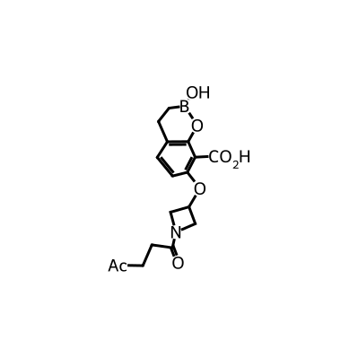 CC(=O)CCC(=O)N1CC(Oc2ccc3c(c2C(=O)O)OB(O)CC3)C1